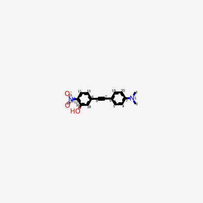 CN(C)c1ccc(C#Cc2ccc([N+](=O)[O-])c(O)c2)cc1